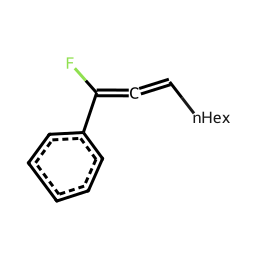 CCCCCCC=C=C(F)c1ccccc1